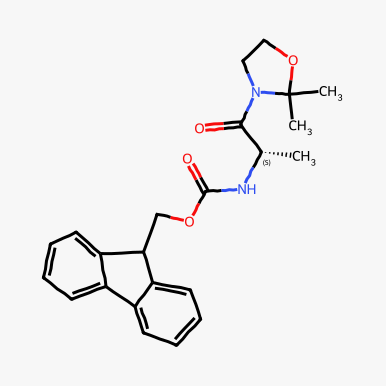 C[C@H](NC(=O)OCC1c2ccccc2-c2ccccc21)C(=O)N1CCOC1(C)C